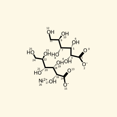 O=C([O-])[C@H](O)[C@@H](O)[C@H](O)[C@H](O)CO.O=C([O-])[C@H](O)[C@@H](O)[C@H](O)[C@H](O)CO.[Ni+2]